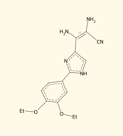 CCOc1ccc(-c2nc(/C(N)=C(/N)C#N)c[nH]2)cc1OCC